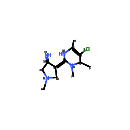 CC1=C(Cl)C(C)N(C)/C(=C2\CN(C)CC2=N)N1